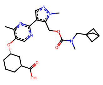 Cc1nc(-c2cnn(C)c2COC(=O)N(C)CC23CC(C2)C3)ncc1O[C@H]1CCCC(C(=O)O)C1